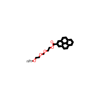 CCCOCCOCOCCOC(=O)c1cc2ccc3cccc4ccc(c1)c2c34